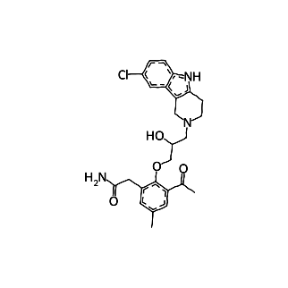 CC(=O)c1cc(C)cc(CC(N)=O)c1OCC(O)CN1CCc2[nH]c3ccc(Cl)cc3c2C1